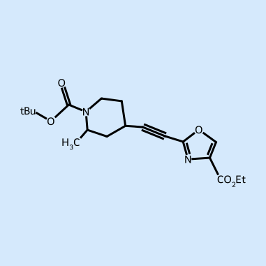 CCOC(=O)c1coc(C#CC2CCN(C(=O)OC(C)(C)C)C(C)C2)n1